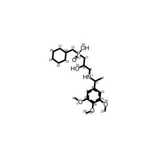 COc1cc(C(C)NCC(O)CP(=O)(O)CC2CCCCC2)cc(OC)c1OC